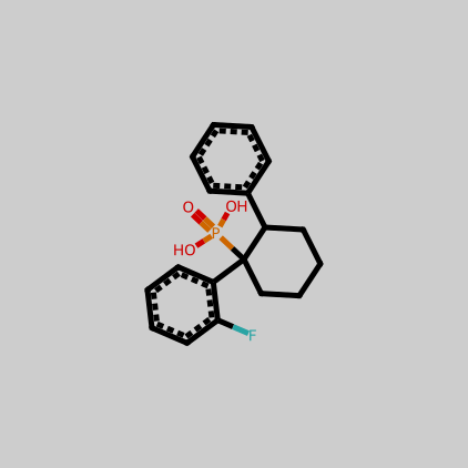 O=P(O)(O)C1(c2ccccc2F)CCCCC1c1ccccc1